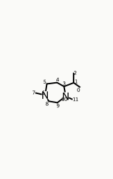 CC(C)C1CCN(C)CCN1C